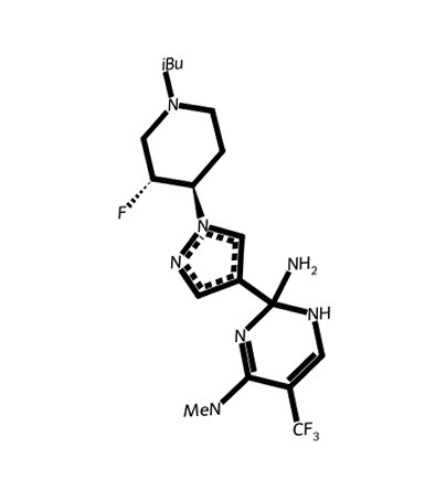 CCC(C)N1CC[C@@H](n2cc(C3(N)N=C(NC)C(C(F)(F)F)=CN3)cn2)[C@H](F)C1